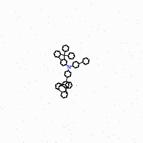 c1ccc(-c2ccc(N(c3ccc(-c4ccc5c(c4)-c4c6cccc4-c4cccc-5c4-c4ccccc4-6)cc3)c3ccc4c(c3)C(c3ccccc3)(c3ccccc3)c3ccccc3-4)cc2)cc1